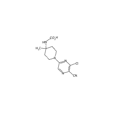 CC1(NC(=O)O)CCN(c2cnc(C#N)c(Cl)n2)CC1